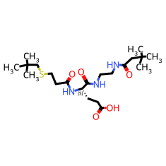 CC(C)(C)CSCCC(=O)N[C@@H](CCC(=O)O)C(=O)NCCNC(=O)CC(C)(C)C